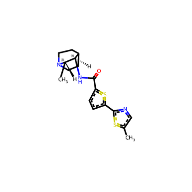 Cc1cnc(-c2ccc(C(=O)N[C@@H]3C4CCN(CC4)[C@H]3C)s2)s1